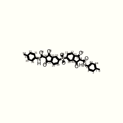 Cc1ccc(NC(=O)C2C(=O)c3ccc(S(=O)(=O)c4ccc5c(c4)C(=O)C(C(=O)Nc4ccc(C)cc4)C5=O)cc3C2=O)cc1